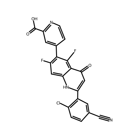 N#Cc1ccc(Cl)c(-c2cc(=O)c3c(F)c(-c4ccnc(C(=O)O)c4)c(F)cc3[nH]2)c1